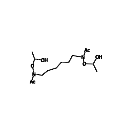 CC(=O)N(CCCCCCN(OC(C)O)C(C)=O)OC(C)O